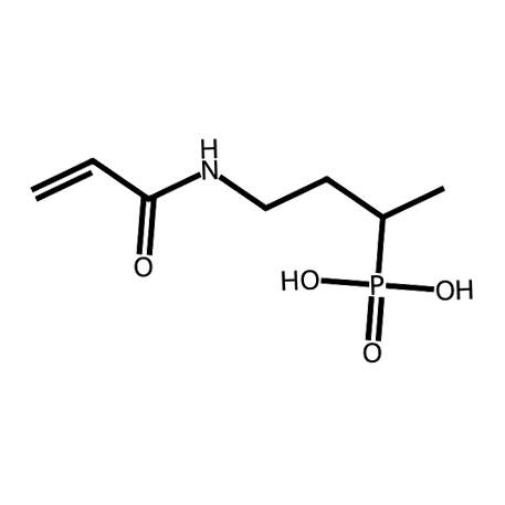 C=CC(=O)NCCC(C)P(=O)(O)O